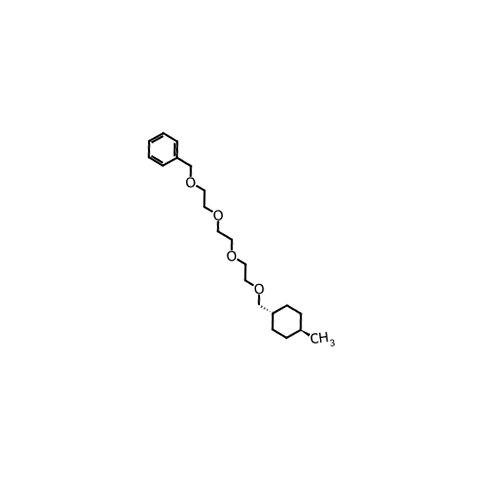 C[C@H]1CC[C@H](COCCOCCOCCOCc2ccccc2)CC1